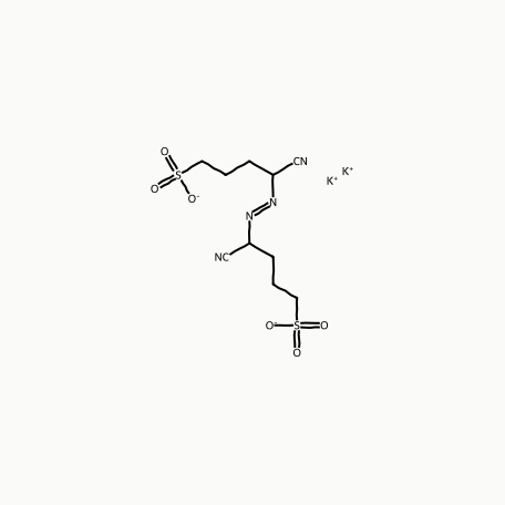 N#CC(CCCS(=O)(=O)[O-])N=NC(C#N)CCCS(=O)(=O)[O-].[K+].[K+]